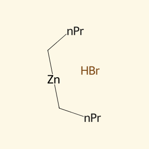 Br.CCC[CH2][Zn][CH2]CCC